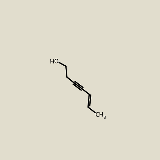 CC=CC#CCCO